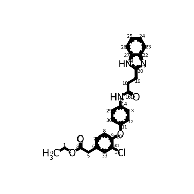 CCOC(=O)Cc1ccc(Oc2ccc(NC(=O)CCc3nc4ccccc4[nH]3)cc2)c(Cl)c1